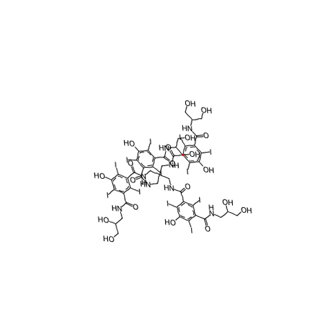 O=C(NCC(O)CO)c1c(I)c(O)c(I)c(C(=O)NCC(CNC(=O)c2c(I)c(O)c(I)c(C(=O)NCC(O)CO)c2I)(CNC(=O)c2c(I)c(O)c(I)c(C(=O)NC(CO)CO)c2I)CNC(=O)c2c(I)c(O)c(I)c(C(=O)NC(CO)CO)c2I)c1I